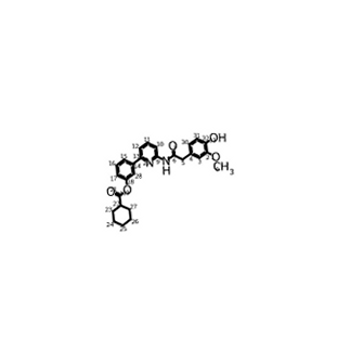 COc1cc(CC(=O)Nc2cccc(-c3cccc(OC(=O)C4CCCCC4)c3)n2)ccc1O